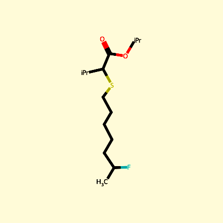 CC(F)CCCCCSC(C(=O)OC(C)C)C(C)C